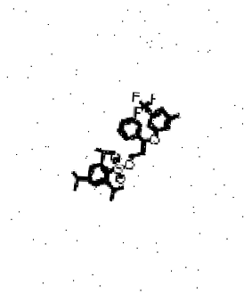 Cc1cc(OC(CCOS(=O)(=O)c2c(C(C)C)cc(C(C)C)cc2C(C)C)c2ccccc2)cc(C(F)(F)F)c1